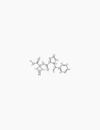 COC(=O)C1(OC(=O)c2cncn2[C@H](C)c2ccccc2)CNC1